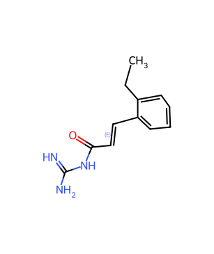 CCc1ccccc1/C=C/C(=O)NC(=N)N